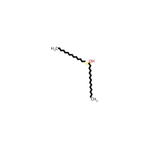 CCCCCCCCCCCCCCCC(O)SCCCCCCCCCCCCCC